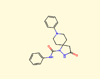 O=C1CC2(CCN(c3ccccc3)CC2)N(C(=O)Nc2ccccc2)N1